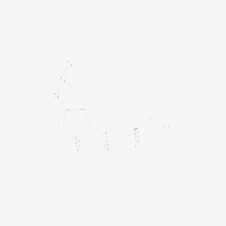 C=CC(=O)Oc1cccc2c1CC(N=[N+]=[N-])O2